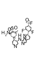 C[C@H]1C[C@@H](c2ccncc2Nc2ncc3ccc(-c4c(F)cc(C5(F)COC5)cc4F)nn23)C[C@@H](N)[C@@H]1S(C)(=O)=O